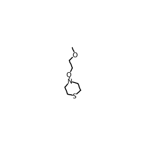 COCCON1CCSCC1